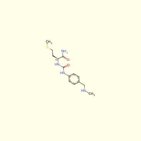 CNCc1ccc(NC(=O)N[C@@H](CCSC)C(N)=O)cc1